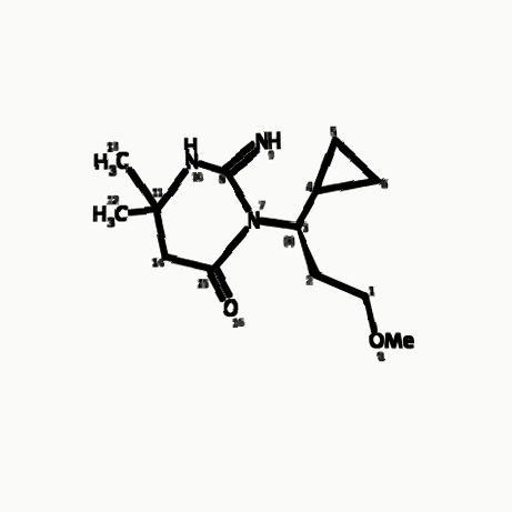 COCC[C@H](C1CC1)N1C(=N)NC(C)(C)CC1=O